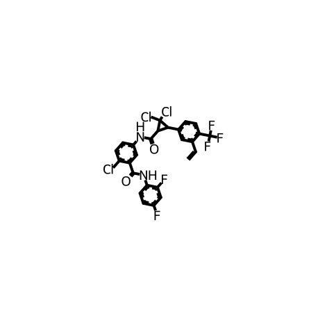 C=Cc1cc(C2C(C(=O)Nc3ccc(Cl)c(C(=O)Nc4ccc(F)cc4F)c3)C2(Cl)Cl)ccc1C(F)(F)F